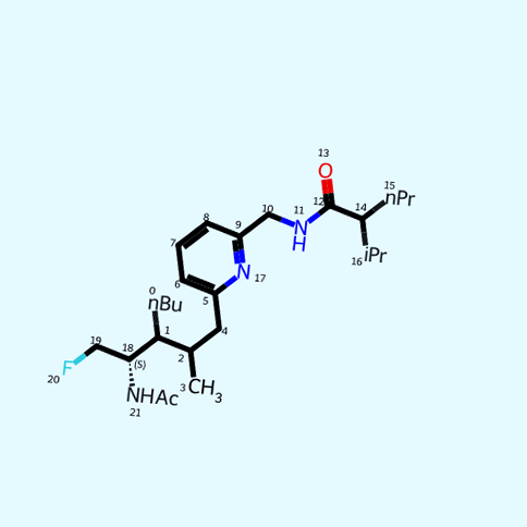 CCCCC(C(C)Cc1cccc(CNC(=O)C(CCC)C(C)C)n1)[C@@H](CF)NC(C)=O